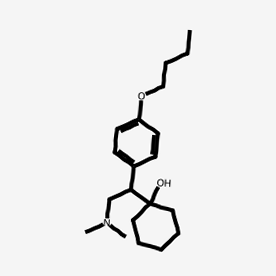 CCCCOc1ccc(C(CN(C)C)C2(O)CCCCC2)cc1